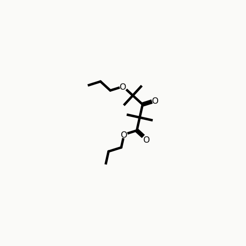 CCCOC(=O)C(C)(C)C(=O)C(C)(C)OCCC